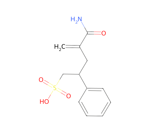 C=C(CC(CS(=O)(=O)O)c1ccccc1)C(N)=O